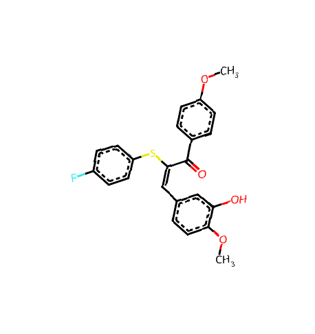 COc1ccc(C(=O)/C(=C\c2ccc(OC)c(O)c2)Sc2ccc(F)cc2)cc1